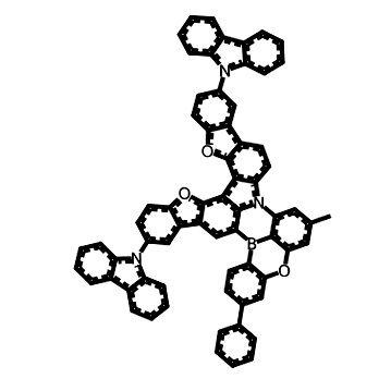 Cc1cc2c3c(c1)-n1c4ccc5c6cc(-n7c8ccccc8c8ccccc87)ccc6oc5c4c4c5oc6ccc(-n7c8ccccc8c8ccccc87)cc6c5cc(c41)B3c1ccc(-c3ccccc3)cc1O2